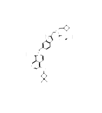 C=C1c2cncc(OC3CC4(COC4)C3)c2C=CN1Cc1ccc2cc(CN(CC3CCC3)C(=O)OC(C)(C)C)[nH]c2c1